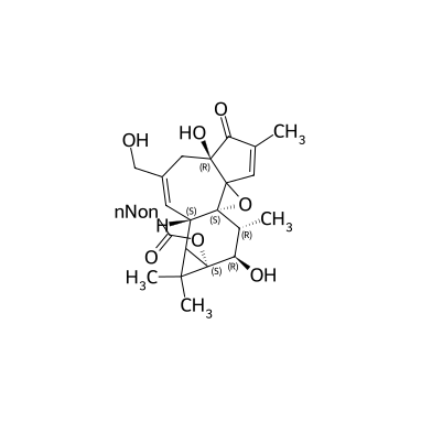 CCCCCCCCCC(=O)O[C@]12C([C@@H]3C=C(CO)C[C@]4(O)C(=O)C(C)=CC45O[C@]35[C@H](C)[C@H]1O)C2(C)C